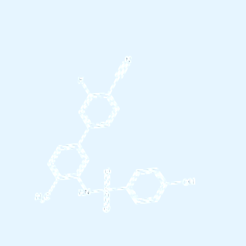 Cc1ccc(-c2ccc(C#N)c(F)c2)cc1NS(=O)(=O)c1ccc(O)cc1